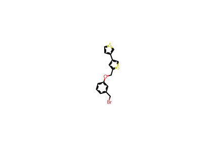 BrCc1cccc(OCc2cc(-c3ccsc3)cs2)c1